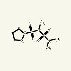 CN(C)S(=O)(=O)N(C)S(=O)(=O)N1CCCO1